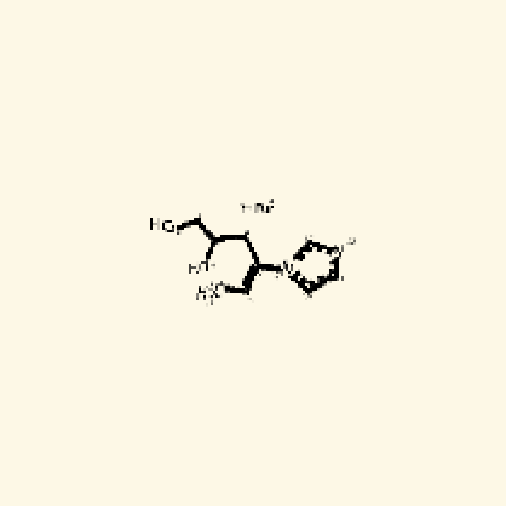 Br.CC=C(CC(O)CO)n1ccnc1